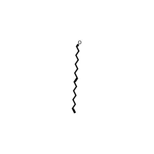 C=CCCCCCC=CCCCCCCC=O